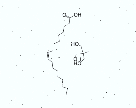 CC(CO)(CO)CO.CCCCCCCC/C=C\CCCCCCCC(=O)O